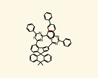 CC1(C)c2ccccc2C2(c3ccc(-c4nc(-c5ccccc5)nc(-c5ccc(-c6ccccc6)cc5)n4)cc3-c3c(-c4nc(-c5ccccc5)nc(-c5ccccc5)n4)cccc32)c2ccccc21